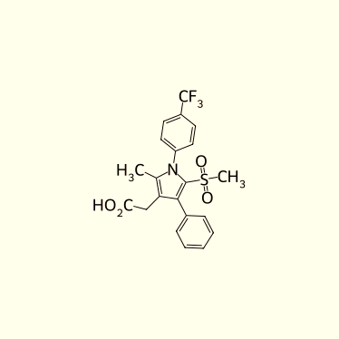 Cc1c(CC(=O)O)c(-c2ccccc2)c(S(C)(=O)=O)n1-c1ccc(C(F)(F)F)cc1